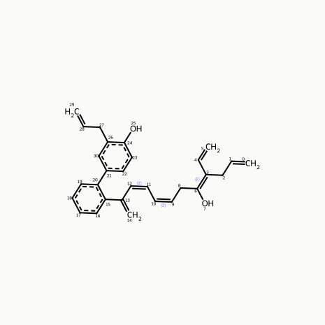 C=CC/C(C=C)=C(\O)C/C=C\C=C/C(=C)c1ccccc1-c1ccc(O)c(CC=C)c1